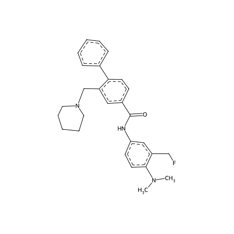 CN(C)c1ccc(NC(=O)c2ccc(-c3ccccc3)c(CN3CCCCC3)c2)cc1CF